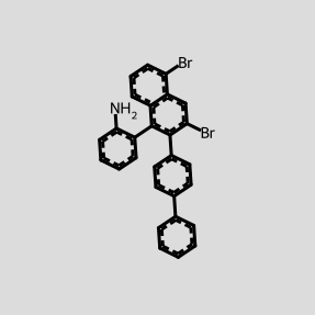 Nc1ccccc1-c1c(-c2ccc(-c3ccccc3)cc2)c(Br)cc2c(Br)cccc12